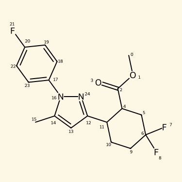 COC(=O)C1CC(F)(F)CCC1c1cc(C)n(-c2ccc(F)cc2)n1